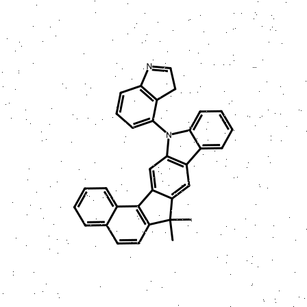 CC1(C)c2cc3c4ccccc4n(-c4cccc5c4CC=N5)c3cc2-c2c1ccc1ccccc21